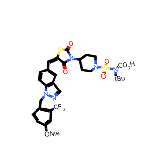 COc1ccc(Cn2ncc3cc(C=C4SC(=O)N(C5CCN(S(=O)(=O)N(C(=O)O)C(C)(C)C)CC5)C4=O)ccc32)c(C(F)(F)F)c1